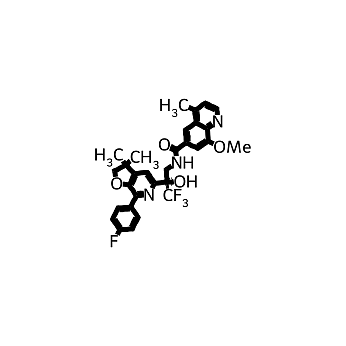 COc1cc(C(=O)NC[C@](O)(c2cc3c(c(-c4ccc(F)cc4)n2)OCC3(C)C)C(F)(F)F)cc2c(C)ccnc12